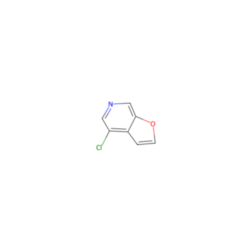 Clc1cncc2occc12